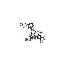 CC(C)(C)[S+]([O-])N[C@@H](c1cc(Cl)c(Cl)cc1O)C1CCN(c2cccc([N+](=O)[O-])n2)CC1